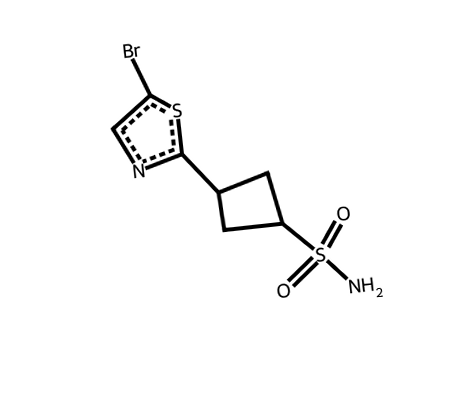 NS(=O)(=O)C1CC(c2ncc(Br)s2)C1